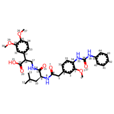 COc1cc(CC(=O)N[C@@H](CC(C)C)C(=O)NCC(C(=O)O)c2ccc(OC)c(OC)c2)ccc1NC(=O)Nc1ccccc1